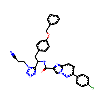 N#CCCn1nnnc1C(Cc1ccc(OCc2ccccc2)cc1)NC(=O)c1cn2nc(-c3ccc(Cl)cc3)ccc2n1